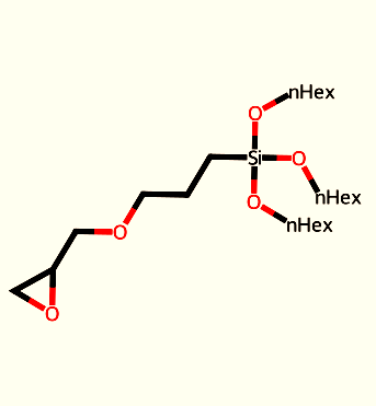 CCCCCCO[Si](CCCOCC1CO1)(OCCCCCC)OCCCCCC